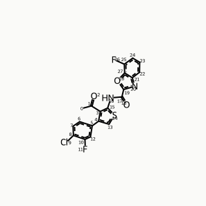 CC(=O)c1c(-c2ccc(Cl)c(F)c2)csc1NC(=O)c1nc2cccc(F)c2o1